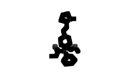 CCC(=O)N(c1ccccc1)C1(COC)CCN(CCc2cccn2C)CC1